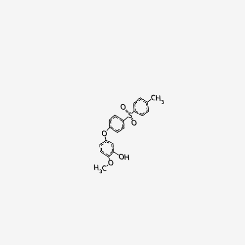 COc1ccc(Oc2ccc(S(=O)(=O)c3ccc(C)cc3)cc2)cc1O